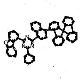 c1ccc(-c2nc(-c3ccc(-c4cccc5c4-c4ccccc4C54c5ccccc5-c5ccccc54)c4ccccc34)nc(-c3cccc4oc5ccccc5c34)n2)cc1